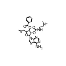 CSCC1OC(n2cnc3c(N)ncnc32)C(OC(=O)NCCN(C)C)C1OC(=O)c1ccccc1